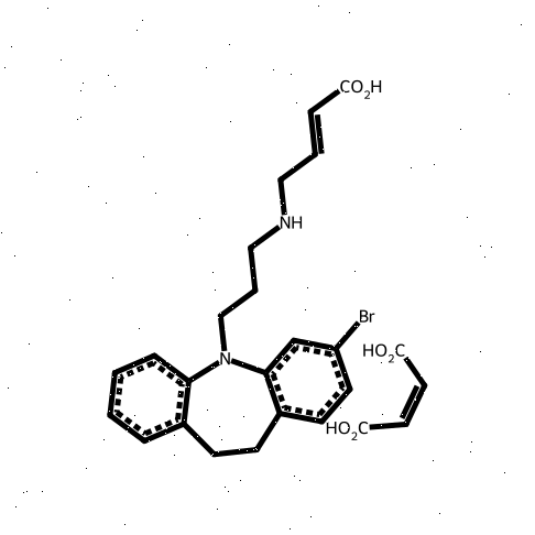 O=C(O)/C=C/CNCCCN1c2ccccc2CCc2ccc(Br)cc21.O=C(O)/C=C\C(=O)O